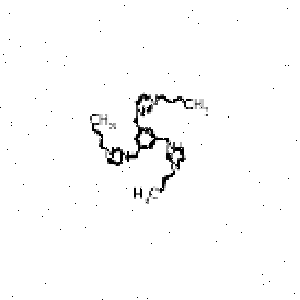 CCCCn1cc[n+](Cc2cc(C[n+]3ccn(CCCC)c3)cc(C[n+]3ccn(CCCC)c3)c2)c1